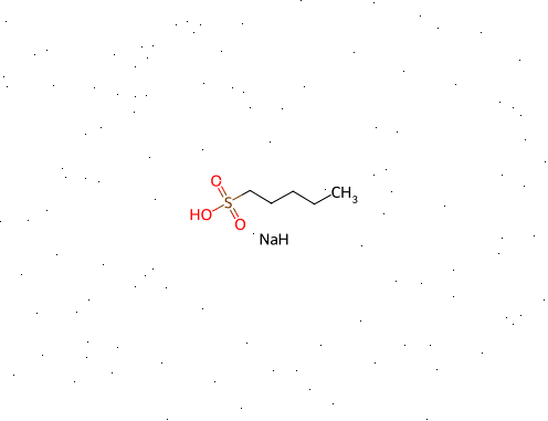 CCCCCS(=O)(=O)O.[NaH]